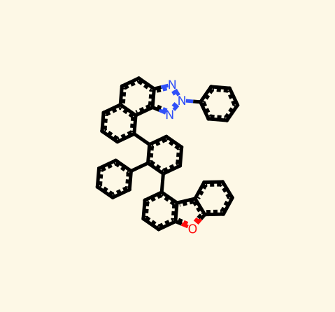 c1ccc(-c2c(-c3cccc4oc5ccccc5c34)cccc2-c2cccc3ccc4nn(-c5ccccc5)nc4c23)cc1